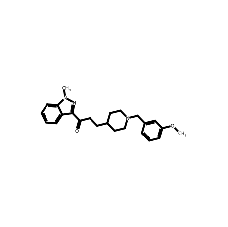 COc1cccc(CN2CCC(CCC(=O)c3nn(C)c4ccccc34)CC2)c1